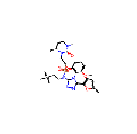 COc1cccc(OC)c1-n1c(-c2ccc(C)o2)nnc1N(CC[Si](C)(C)C)S(=O)(=O)CCN1C(=O)N(C)CC[C@@H]1C